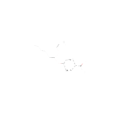 C=COC(CCCCC)Oc1ccc(C(C)=O)cc1